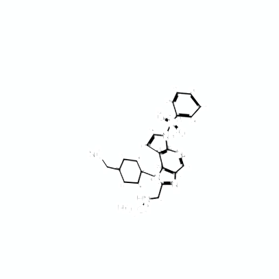 N#CCC1CCC(n2c(CNC(=O)O)nc3cnc4c(ccn4S(=O)(=O)c4ccccc4)c32)CC1